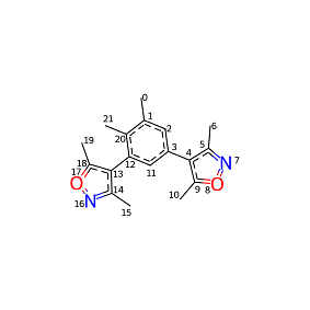 Cc1cc(-c2c(C)noc2C)cc(-c2c(C)noc2C)c1C